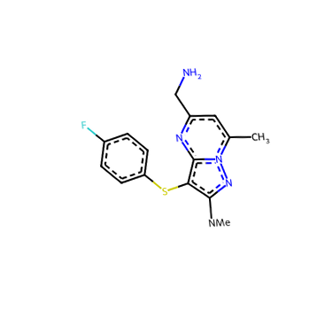 CNc1nn2c(C)cc(CN)nc2c1Sc1ccc(F)cc1